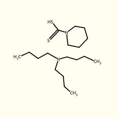 CCCCN(CCCC)CCCC.S=C(S)N1CCCCC1